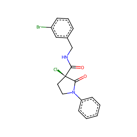 O=C(NCc1cccc(Br)c1)[C@@]1(Cl)CCN(c2ccccc2)C1=O